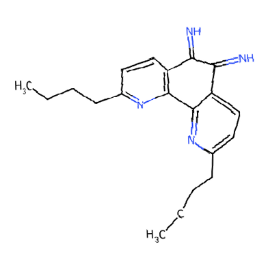 CCCCc1ccc2c(n1)-c1nc(CCCC)ccc1C(=N)C2=N